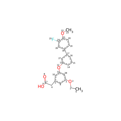 CCOc1cc(CC(=O)O)cc(Oc2cccc(-c3ccc(OC)c(F)c3)c2)c1